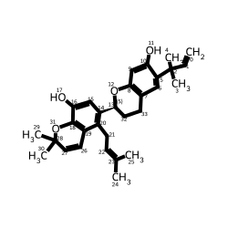 C=CC(C)(C)c1cc2c(cc1O)O[C@H](c1cc(O)c3c(c1CC=C(C)C)C=CC(C)(C)O3)CC2